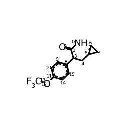 NC(=O)C(CC1CC1)c1ccc(OC(F)(F)F)cc1